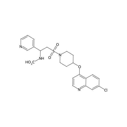 O=C(O)NC(CS(=O)(=O)N1CCC(Oc2ccnc3cc(Cl)ccc23)CC1)c1cccnc1